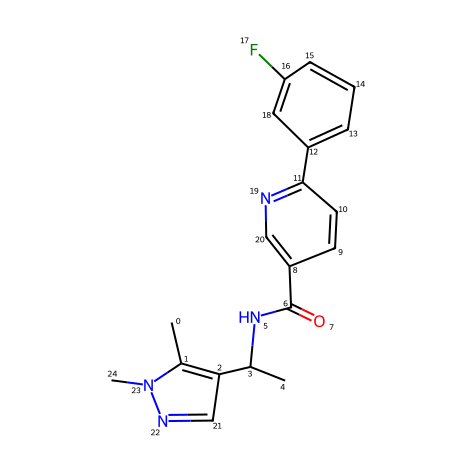 Cc1c(C(C)NC(=O)c2ccc(-c3cccc(F)c3)nc2)cnn1C